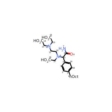 CCCCCCCCc1ccc(C(C(N)=O)N(CCN(CC(=O)O)CC(=O)O)CC(=O)O)cc1